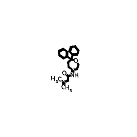 CN(C)CC(=O)NN1CCOC(c2ccccc2)(c2ccccc2)CC1